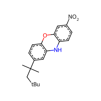 CC(C)(C)CC(C)(C)c1ccc2c(c1)Nc1ccc([N+](=O)[O-])cc1O2